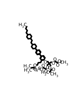 C=C(C)C(=O)OCCCc1cc(-c2ccc(C3CCC(CCC4CCC(CCCCC)CC4)CC3)cc2)ccc1OCC(COC(=O)C(=C)C)(COC(=O)C(=O)OC)COC(=O)C(=O)OC